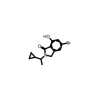 CC(C1CC1)N1Cc2cc(Br)cc(O)c2C1=O